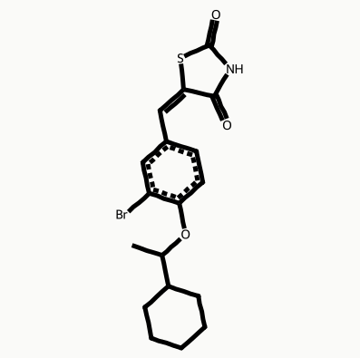 CC(Oc1ccc(C=C2SC(=O)NC2=O)cc1Br)C1CCCCC1